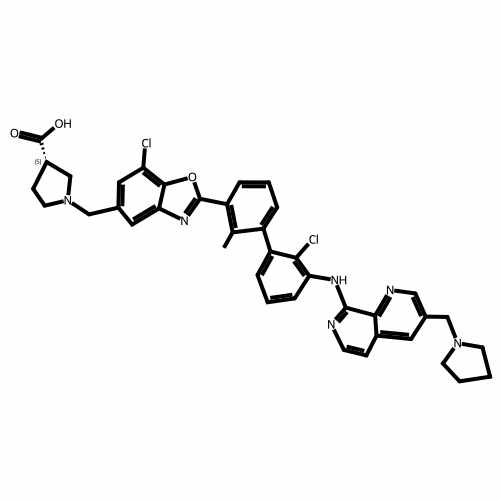 Cc1c(-c2nc3cc(CN4CC[C@H](C(=O)O)C4)cc(Cl)c3o2)cccc1-c1cccc(Nc2nccc3cc(CN4CCCC4)cnc23)c1Cl